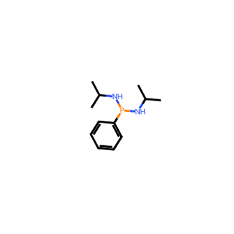 CC(C)NP(NC(C)C)c1ccccc1